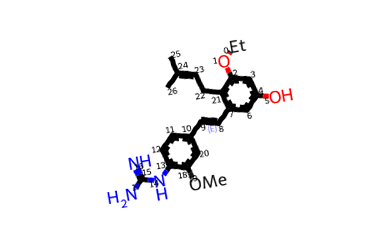 CCOc1cc(O)cc(/C=C/c2ccc(NC(=N)N)c(OC)c2)c1CC=C(C)C